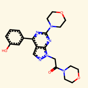 O=C(Cn1ncc2c(-c3cccc(O)c3)nc(N3CCOCC3)nc21)N1CCOCC1